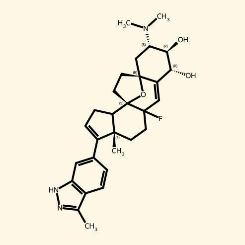 Cc1n[nH]c2cc(C3=CCC4[C@@]56CC[C@]7(C[C@H](N(C)C)[C@@H](O)[C@H](O)C7=CC5(F)CC[C@]34C)O6)ccc12